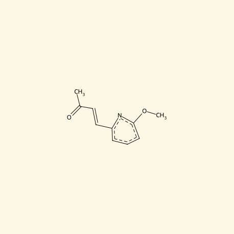 COc1cccc(C=CC(C)=O)n1